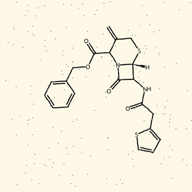 C=C1CS[C@@H]2C(NC(=O)Cc3cccs3)C(=O)N2C1C(=O)OCc1ccccc1